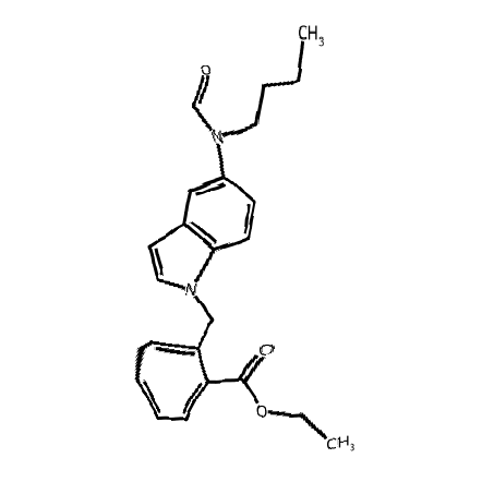 CCCCN(C=O)c1ccc2c(ccn2Cc2ccccc2C(=O)OCC)c1